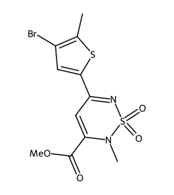 COC(=O)C1=CC(c2cc(Br)c(C)s2)=NS(=O)(=O)N1C